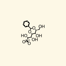 O=[N+]([O-])C(O)[C@@H](O)[C@H]1OC(c2ccccc2)O[C@@H](CO)[C@H]1O